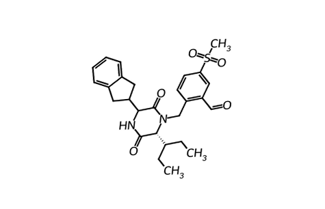 CCC(CC)[C@@H]1C(=O)NC(C2Cc3ccccc3C2)C(=O)N1Cc1ccc(S(C)(=O)=O)cc1C=O